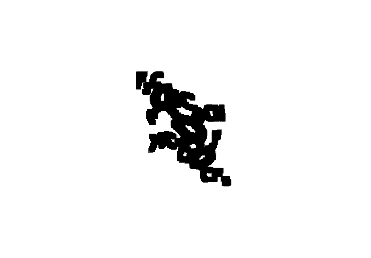 N#CC(C#N)=c1cc(-c2ccc(C(F)(F)F)cc2F)c(=C(C#N)C#N)cc1-c1ccc(C(F)(F)F)cc1F